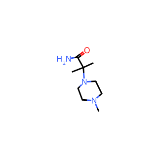 CN1CCN(C(C)(C)C(N)=O)CC1